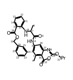 Cc1cc(NC(=O)C(C)Nc2ccccc2C(=O)OCc2ccccc2)cc2nc(OC(C)C)oc(=O)c12